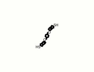 SC1CC2C3CC(OCC4CCC(COC5CC6CC5C5CC(S)CC65)CC4)C(C3)C2C1